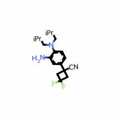 CC(C)CN(CC(C)C)c1ccc(C2(C#N)CC(F)(F)C2)cc1N